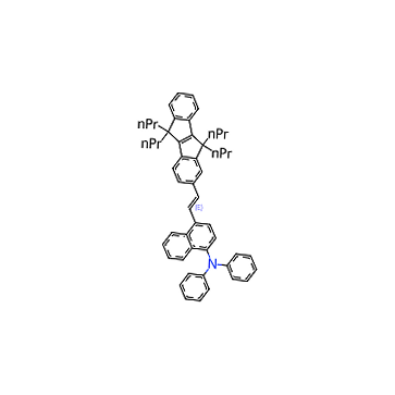 CCCC1(CCC)C2=C(c3ccccc31)C(CCC)(CCC)c1cc(/C=C/c3ccc(N(c4ccccc4)c4ccccc4)c4ccccc34)ccc12